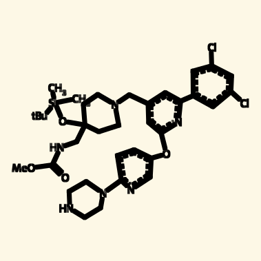 COC(=O)NCC1(O[Si](C)(C)C(C)(C)C)CCN(Cc2cc(Oc3ccc(N4CCNCC4)nc3)nc(-c3cc(Cl)cc(Cl)c3)c2)CC1